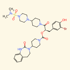 CN(C)S(=O)(=O)N1CCN(C2CCN(C(=O)[C@@H](Cc3ccc(O)c(Br)c3)OC(=O)N3CCC(N4CCc5ccccc5NC4=O)CC3)CC2)CC1